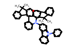 CC1(C)c2ccccc2-c2c(-c3ccccc3N(c3ccc4c(c3)c3ccccc3n4-c3ccccc3)c3cccc4c3C(C)(C)c3ccccc3-4)cccc21